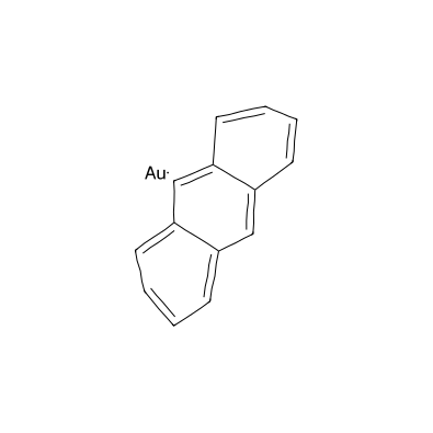 [Au].c1ccc2cc3ccccc3cc2c1